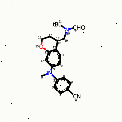 CN(c1ccc(C#N)cc1)c1ccc2c(c1)OCC[C@H]2CN([C]=O)C(C)(C)C